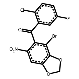 O=C(c1cc(F)ccc1Cl)c1c([N+](=O)[O-])cc2c(c1Br)OCO2